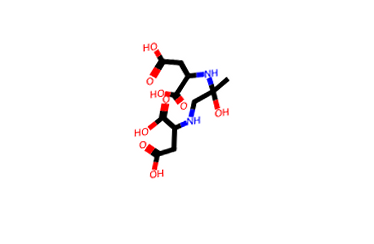 CC(O)(CNC(CC(=O)O)C(=O)O)NC(CC(=O)O)C(=O)O